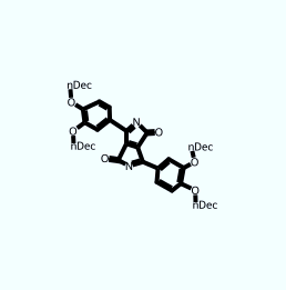 CCCCCCCCCCOc1ccc(-c2nc(=O)c3c(-c4ccc(OCCCCCCCCCC)c(OCCCCCCCCCC)c4)nc(=O)c2=3)cc1OCCCCCCCCCC